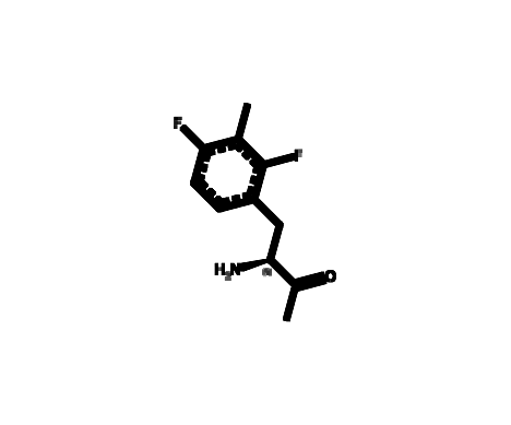 CC(=O)[C@@H](N)Cc1ccc(F)c(C)c1F